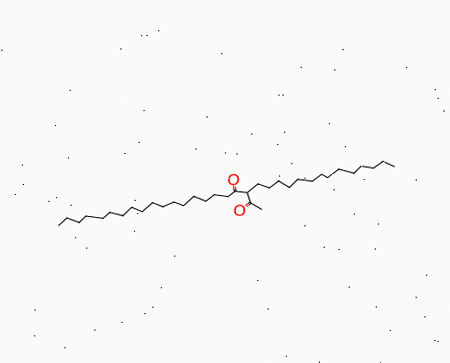 CCCCCCCCCCCCCCCCCC(=O)C(CCCCCCCCCCCCCC)C(C)=O